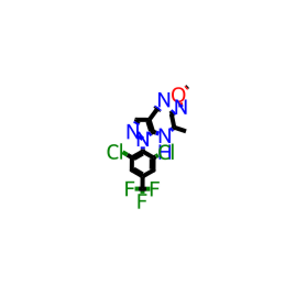 CON=CC(C)Nc1c(C#N)cnn1-c1c(Cl)cc(C(F)(F)F)cc1Cl